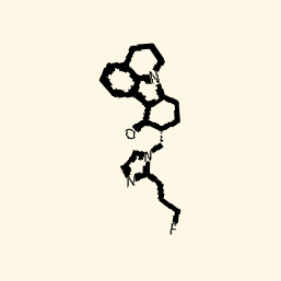 O=C1c2c(n3c4c(cccc24)CCC3)CC[C@@H]1Cn1ccnc1CCCF